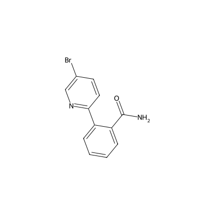 NC(=O)c1ccccc1-c1ccc(Br)cn1